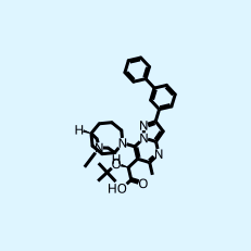 Cc1nc2cc(-c3cccc(-c4ccccc4)c3)nn2c(N2CCC[C@H]3CC[C@@H]2CN(C)C3)c1[C@H](OC(C)(C)C)C(=O)O